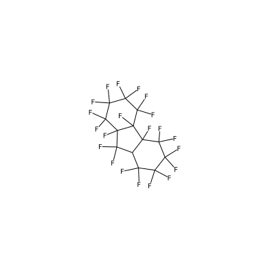 FC1(F)C2C(F)(F)C3(F)C(F)(F)C(F)(F)C(F)(F)C(F)(F)C3(F)C2(F)C(F)(F)C(F)(F)C1(F)F